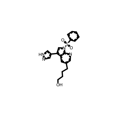 O=S(=O)(c1ccccc1)n1cc(-c2cn[nH]c2)c2cc(CCCCO)cnc21